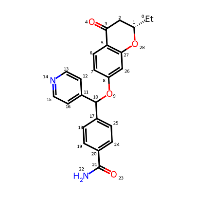 CC[C@H]1CC(=O)c2ccc(OC(c3ccncc3)c3ccc(C(N)=O)cc3)cc2O1